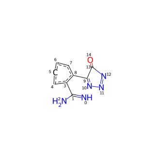 N=C(N)c1ccccc1C1=NN=NC1=O